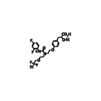 CCOC(Cc1ccc(OCCN(CCOCC(F)(F)CC)C(=O)Nc2ccc(F)cc2F)cc1)C(=O)O